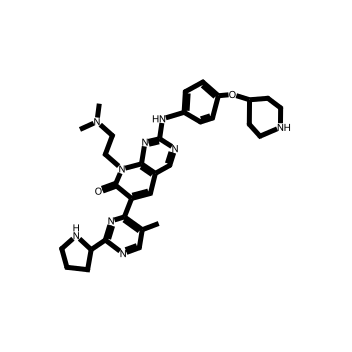 Cc1cnc(C2CCCN2)nc1-c1cc2cnc(Nc3ccc(OC4CCNCC4)cc3)nc2n(CCN(C)C)c1=O